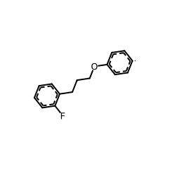 Fc1ccccc1CCCOc1cc[c]cc1